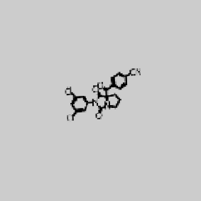 N#Cc1ccc(C(=O)C23CCCN2C(=O)N(c2cc(Cl)cc(Cl)c2)C3=O)cc1